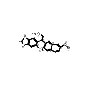 CCOC(=O)CC(c1ccc2ccc(OCC)cc2c1)c1cc2c(cc1C)OCO2